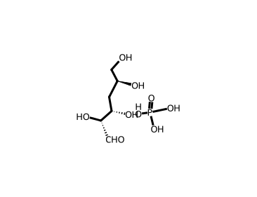 O=C[C@H](O)[C@@H](O)C[C@H](O)CO.O=P(O)(O)O